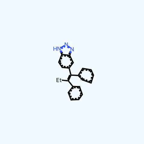 CC/C(=C(/c1[c]cccc1)c1ccc2[nH]nnc2c1)c1ccccc1